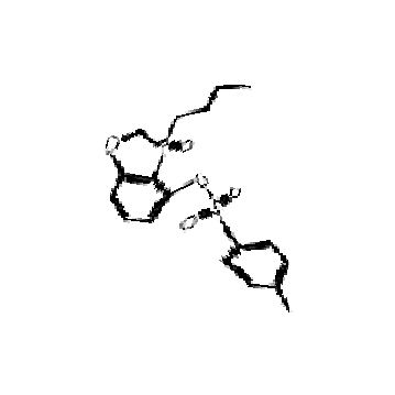 CCCCP1(=O)COc2cccc(OS(=O)(=O)c3ccc(C)cc3)c21